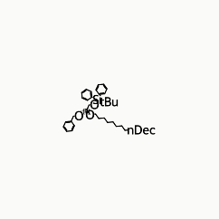 CCCCCCCCCCCCCCCCCCO[C@H](COCc1ccccc1)CO[Si](c1ccccc1)(c1ccccc1)C(C)(C)C